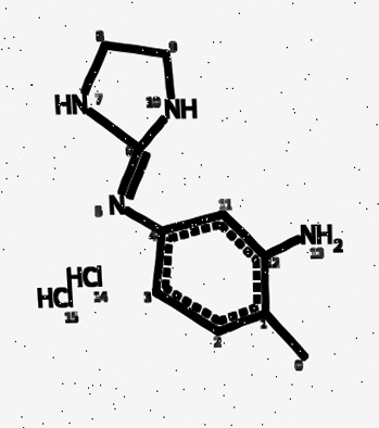 Cc1ccc(N=C2NCCN2)cc1N.Cl.Cl